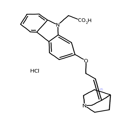 Cl.O=C(O)Cn1c2ccccc2c2ccc(OC/C=C3\CN4CCC3CC4)cc21